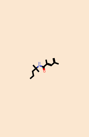 C=C(C)/C=C(\C)C(=O)NC(C)(C)CCC